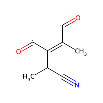 C/C([C]=O)=C(/[C]=O)C(C)C#N